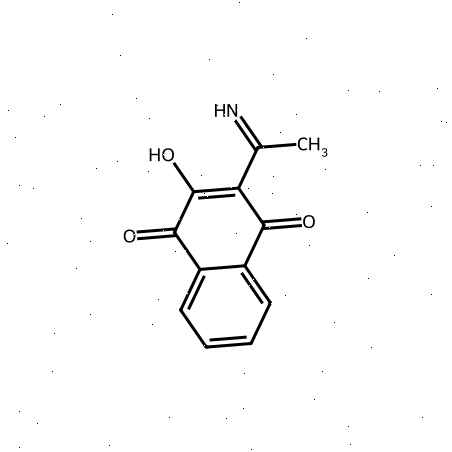 CC(=N)C1=C(O)C(=O)c2ccccc2C1=O